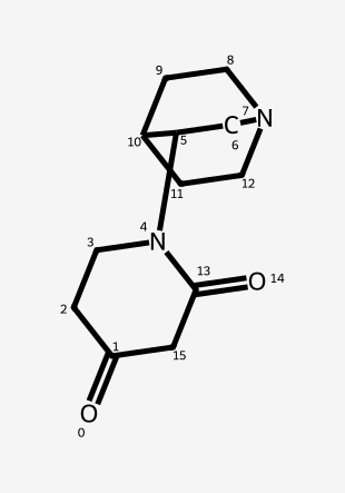 O=C1CCN(C2CN3CCC2CC3)C(=O)C1